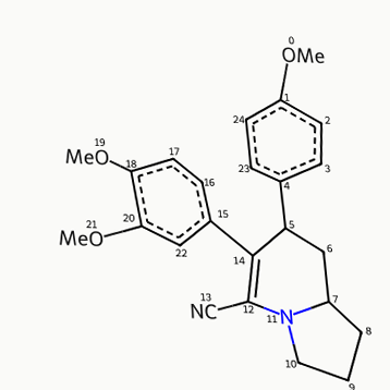 COc1ccc(C2CC3CCCN3C(C#N)=C2c2ccc(OC)c(OC)c2)cc1